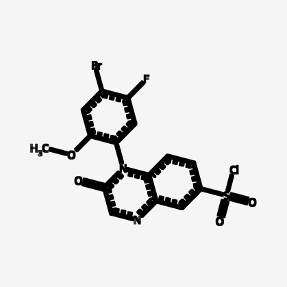 COc1cc(Br)c(F)cc1-n1c(=O)cnc2cc(S(=O)(=O)Cl)ccc21